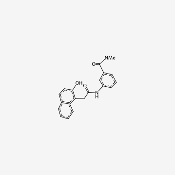 CNC(=O)c1cccc(NC(=O)Cc2c(O)ccc3ccccc23)c1